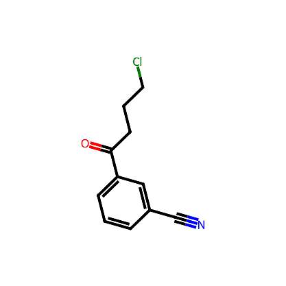 N#Cc1cccc(C(=O)CCCCl)c1